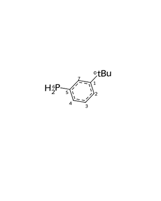 CC(C)(C)c1cccc(P)c1